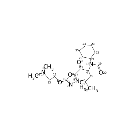 CC(C)CC(C(=O)c1nnc(OCCN(C)C)o1)N(C=O)C1CCCCC1